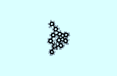 c1ccc(-c2ccc(-c3cc4c(cc3-c3cccc(-c5cccc(-c6cc(-c7ccccc7)nc(-c7ccccc7)n6)c5)c3)C3(c5ccccc5-c5ccccc53)c3ccccc3-4)cc2)cc1